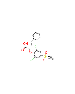 CS(=O)(=O)c1cc(Cl)c(OC(CCc2ccccc2)C(=O)O)c(Cl)c1